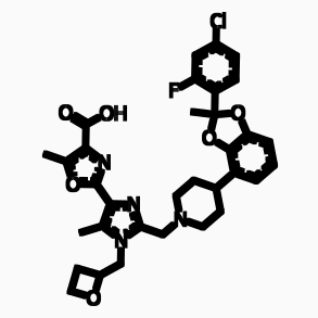 Cc1oc(-c2nc(CN3CCC(c4cccc5c4OC(C)(c4ccc(Cl)cc4F)O5)CC3)n(CC3CCO3)c2C)nc1C(=O)O